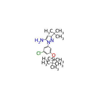 CC(C)(C)c1cc(N)n(-c2cc(Cl)cc(O[Si](C)(C)C(C)(C)C)c2)n1